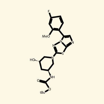 COc1cc(F)ccc1-c1cnc2sc(N3C[C@@H](O)C[C@H](NC(=O)OC(C)(C)C)C3)nn12